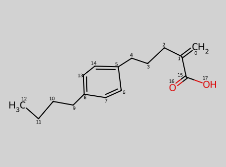 C=C(CCCc1ccc(CCCC)cc1)C(=O)O